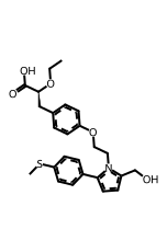 CCO[C@@H](Cc1ccc(OCCn2c(CO)ccc2-c2ccc(SC)cc2)cc1)C(=O)O